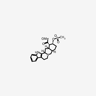 COC(=O)[C@@H]1[C@H]2C[C@H]3c4[nH]c5ccccc5c4CCN3C[C@@H]2CC[C@@H]1OS(C)(=O)=O